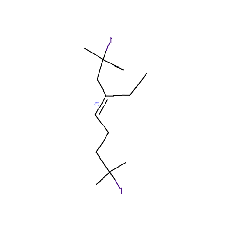 CC/C(=C\CCC(C)(C)I)CC(C)(C)I